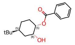 CC(C)(C)[C@H]1CC[C@H](OC(=O)c2ccccc2)[C@H](O)C1